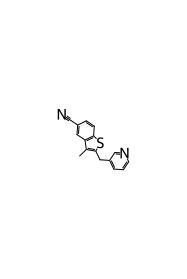 Cc1c(Cc2cccnc2)sc2ccc(C#N)cc12